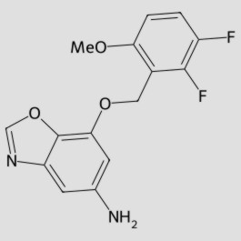 COc1ccc(F)c(F)c1COc1cc(N)cc2ncoc12